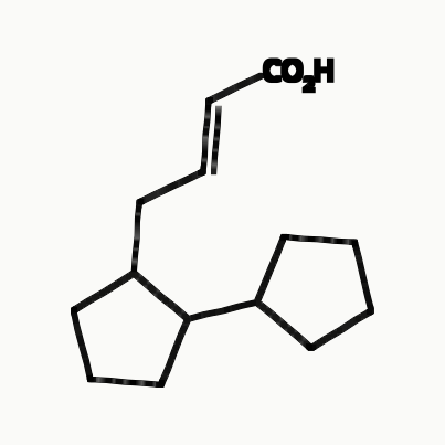 O=C(O)/C=C/CC1CCCC1C1CCCC1